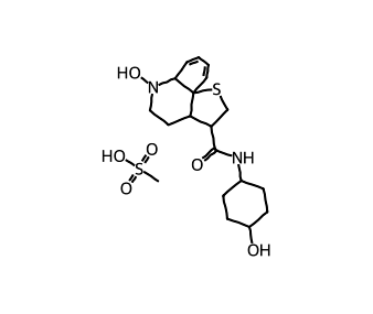 CS(=O)(=O)O.O=C(NC1CCC(O)CC1)C1CSC23C=CC=CC2N(O)CCC13